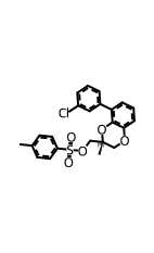 Cc1ccc(S(=O)(=O)OC[C@@]2(C)COc3cccc(-c4cccc(Cl)c4)c3O2)cc1